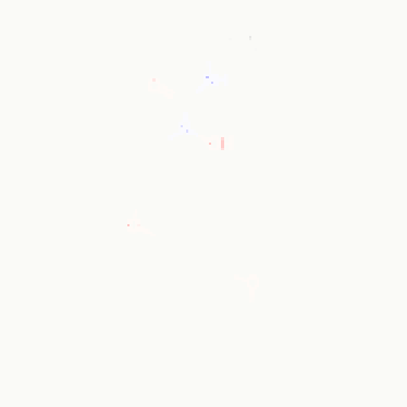 CCOC(=O)CNC(=O)N(O)CC1=Cc2cc(Oc3ccccc3)ccc2OC1